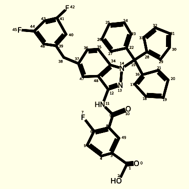 O=C(O)c1ccc(F)c(C(=O)Nc2nn(C(c3ccccc3)(c3ccccc3)c3ccccc3)c3ccc(Cc4cc(F)cc(F)c4)cc23)c1